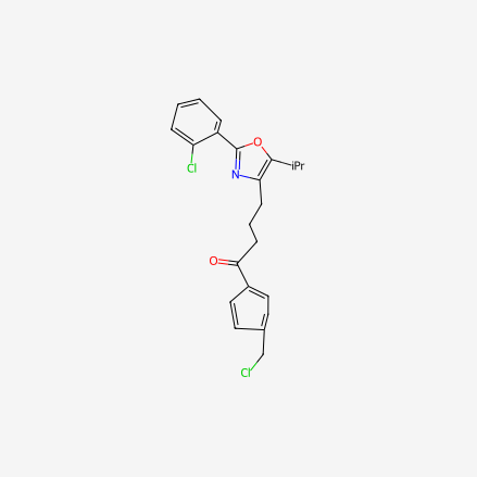 CC(C)c1oc(-c2ccccc2Cl)nc1CCCC(=O)c1ccc(CCl)cc1